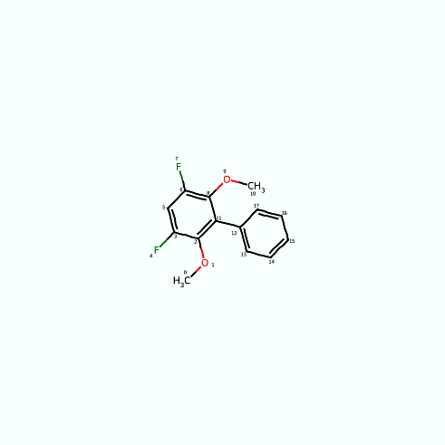 COc1c(F)cc(F)c(OC)c1-c1ccccc1